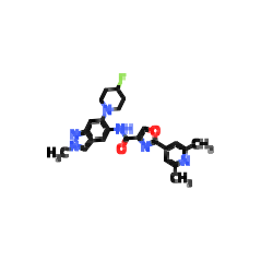 Cc1cc(-c2nc(C(=O)Nc3cc4cn(C)nc4cc3N3CCC(F)CC3)co2)cc(C)n1